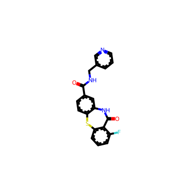 O=C(NCc1cccnc1)c1ccc2c(c1)NC(=O)c1c(F)cccc1S2